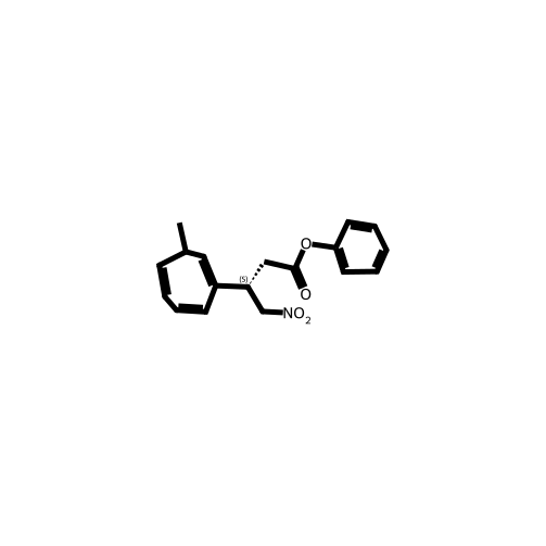 CC1C=CC=CC([C@H](CC(=O)Oc2ccccc2)C[N+](=O)[O-])=C1